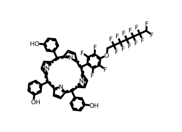 Oc1cccc(-c2c3nc(c(-c4cccc(O)c4)c4ccc([nH]4)c(-c4c(F)c(F)c(OCC(F)(F)C(F)(F)C(F)(F)C(F)(F)C(F)(F)C(F)F)c(F)c4F)c4nc(c(-c5cccc(O)c5)c5ccc2[nH]5)C=C4)C=C3)c1